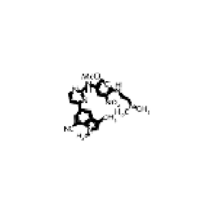 COc1cc(NCCN(C)C)c([N+](=O)[O-])cc1Nc1nccc(-c2cc(C#N)c3c(c2)c(C)cn3C)n1